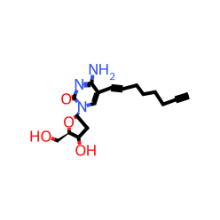 C#CCCCCC#Cc1cn([C@H]2CC(O)[C@@H](CO)O2)c(=O)nc1N